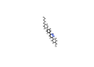 CCCCC[C@H]1CC[C@H](c2ccc(-c3ccc([C@H]4CC[C@H](CC)CC4)nn3)cc2)CC1